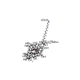 CCCCCCCC/C=C\CCCCCCCCCCCCCC(=O)N[C@@H](CO[C@@H]1OC(CO)[C@@H](O[C@@H]2OC(CO)[C@H](O)[C@H](O[C@@H]3OC(CO)[C@@H](O[C@H]4OC(C)[C@@H](O)C(O)[C@@H]4O)[C@H](O[C@@H]4OC(CO)[C@H](O)[C@H](O[C@@H]5OC(CO)[C@@H](O[C@@H]6OC(CO)[C@H](O)[C@H](O)C6O)[C@H](O)C5NC(C)=O)C4O)C3NC(C)=O)C2O)[C@H](O)C1O)[C@H](O)/C=C/CCCCCCCCCCCCC